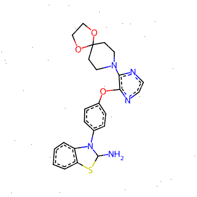 NC1Sc2ccccc2N1c1ccc(Oc2nccnc2N2CCC3(CC2)OCCO3)cc1